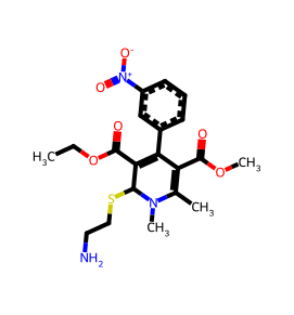 CCOC(=O)C1=C(c2cccc([N+](=O)[O-])c2)C(C(=O)OC)=C(C)N(C)C1SCCN